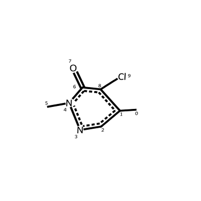 Cc1cnn(C)c(=O)c1Cl